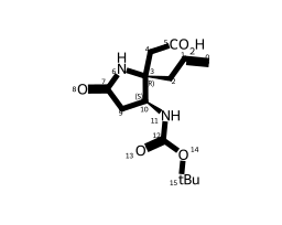 C=CC[C@]1(CC(=O)O)NC(=O)C[C@@H]1NC(=O)OC(C)(C)C